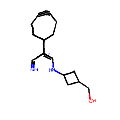 N=C/C(=C\NC1CC(CO)C1)C1CCC#CCC1